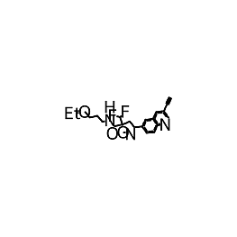 C#Cc1cnc2ccc(C3=NOC(C(=O)NCCCOCC)(C(F)F)C3)cc2c1